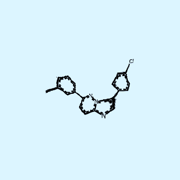 Cc1[c]ccc(-c2ccc3ncc(-c4ccc(Cl)cc4)n3n2)c1